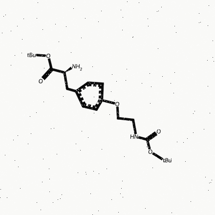 CC(C)(C)OC(=O)NCCOc1ccc(C[C@H](N)C(=O)OC(C)(C)C)cc1